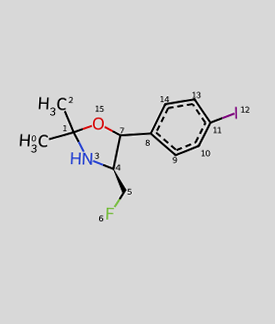 CC1(C)N[C@H](CF)C(c2ccc(I)cc2)O1